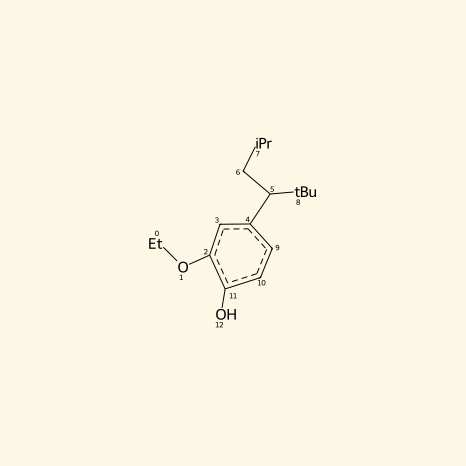 CCOc1cc(C(CC(C)C)C(C)(C)C)ccc1O